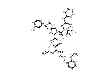 CCC[C@H](NC(=O)[C@@H]1C[C@]2(CC(c3cccc(Cl)c3)=NO2)CN1C(=O)[C@@H](NC(=O)CC1CCCCC1)C(C)(C)C)C(=O)C(=O)NCCOc1ccccc1OC